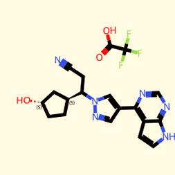 N#CCC([C@H]1CC[C@H](O)C1)n1cc(-c2ncnc3[nH]ccc23)cn1.O=C(O)C(F)(F)F